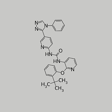 CC(C)(C)c1ccccc1Oc1ncccc1NC(=O)Nc1ccc(-c2nncn2-c2ccccc2)cn1